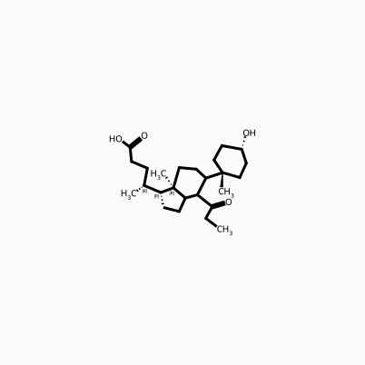 CCC(=O)C1C2CC[C@H]([C@H](C)CCC(=O)O)[C@@]2(C)CCC1[C@]1(C)CC[C@H](O)CC1